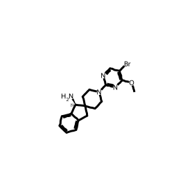 COc1nc(N2CCC3(CC2)Cc2ccccc2[C@H]3N)ncc1Br